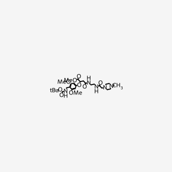 COC(=O)C(CC(=O)NCCNC(=O)CN1CCN(C)CC1)Oc1cc(OC)c(CNC(=O)OC(C)(C)C)c(OC)c1